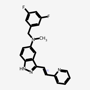 CN(Cc1cc(F)cc(F)c1)c1ccc2[nH]nc(/C=C/c3ccccn3)c2c1